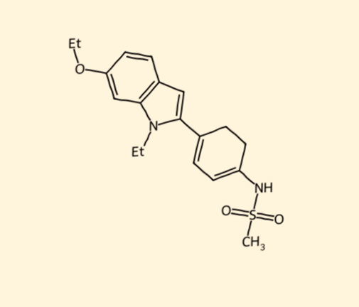 CCOc1ccc2cc(C3=CC=C(NS(C)(=O)=O)CC3)n(CC)c2c1